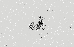 c1ccc(-c2cccc(-c3nc(-c4ccc5c(c4)oc4ccccc45)nc(-c4ccc(-c5cccc6sc7ccccc7c56)c5c4oc4ccccc45)n3)c2)cc1